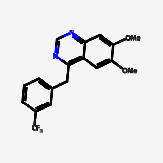 COc1cc2ncnc(Cc3cccc(C(F)(F)F)c3)c2cc1OC